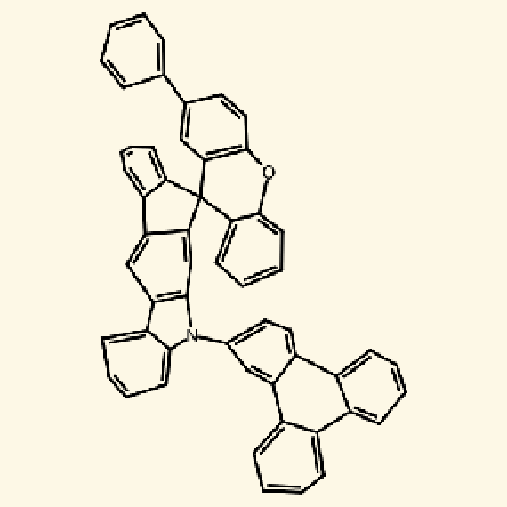 c1ccc(-c2ccc3c(c2)C2(c4ccccc4O3)c3ccccc3-c3cc4c5ccccc5n(-c5ccc6c7ccccc7c7ccccc7c6c5)c4cc32)cc1